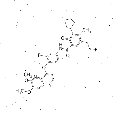 COc1cc2nccc(Oc3ccc(NC(=O)c4cn(CCF)c(C)c(C5CCCC5)c4=O)cc3F)c2nc1OC